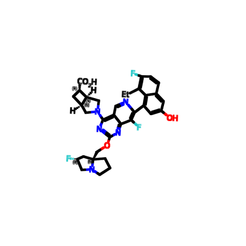 CCc1c(F)ccc2cc(O)cc(-c3ncc4c(N5C[C@H]6C[C@@H](C(=O)O)[C@H]6C5)nc(OC[C@@]56CCCN5C[C@H](F)C6)nc4c3F)c12